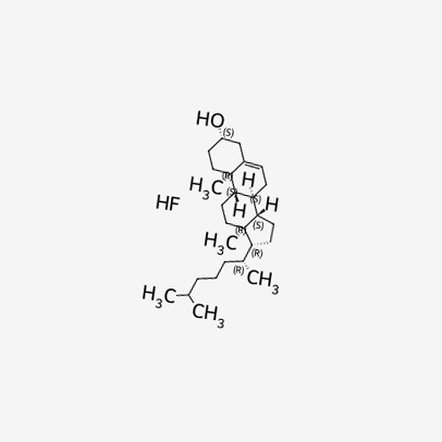 CC(C)CCC[C@@H](C)[C@H]1CC[C@H]2[C@@H]3CC=C4C[C@@H](O)CC[C@]4(C)[C@H]3CC[C@]12C.F